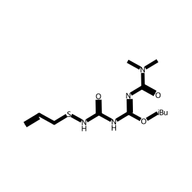 C=CCSNC(=O)NC(=NC(=O)N(C)C)OC(C)CC